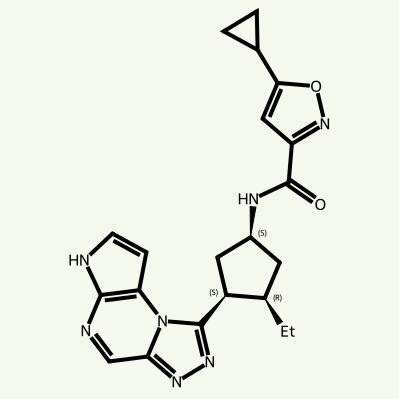 CC[C@@H]1C[C@H](NC(=O)c2cc(C3CC3)on2)C[C@@H]1c1nnc2cnc3[nH]ccc3n12